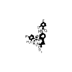 CCC1(N)C=C1c1ccc(NC(=O)c2ccc(F)cc2Cl)cc1NS(=O)(=O)c1ccc(F)cc1C